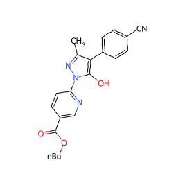 CCCCOC(=O)c1ccc(-n2nc(C)c(-c3ccc(C#N)cc3)c2O)nc1